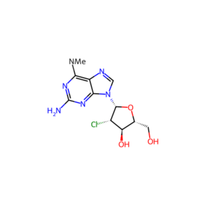 CNc1nc(N)nc2c1ncn2[C@@H]1O[C@H](CO)[C@@H](O)[C@@H]1Cl